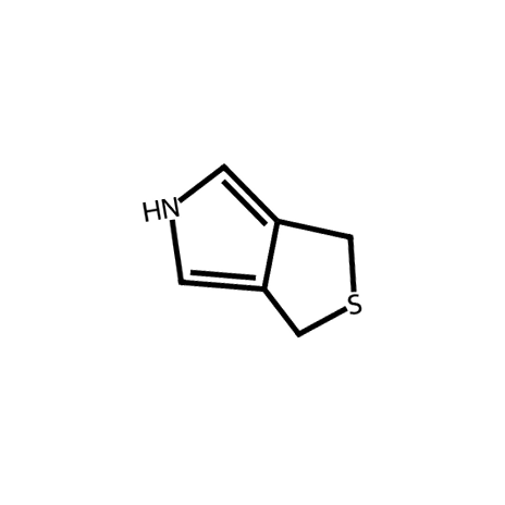 c1[nH]cc2c1CSC2